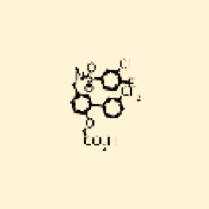 CN(Cc1ccc(OCC(=O)O)c(-c2cccc(C(F)(F)F)c2)c1)S(=O)(=O)c1ccc(F)c(Cl)c1